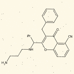 CC(C)C(NCCCN)c1oc2cccc(C#N)c2c(=O)c1Cc1ccccc1